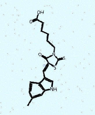 Cc1ccc2c(/C=C3\SC(=S)N(CCCCCC(=O)O)C3=O)c[nH]c2c1